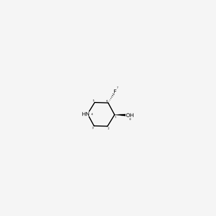 O[C@H]1CCNC[C@@H]1F